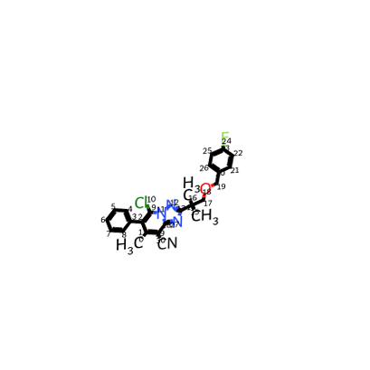 Cc1c(-c2ccccc2)c(Cl)n2nc(C(C)(C)COCc3ccc(F)cc3)nc2c1C#N